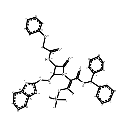 CC(O[Si](C)(C)C)=C(C(=O)OC(c1ccccc1)c1ccccc1)N1C(=O)C(NC(=O)COc2ccccc2)C1SSc1nc2ccccc2s1